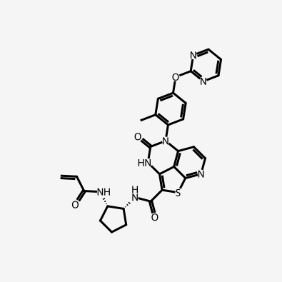 C=CC(=O)N[C@H]1CCC[C@H]1NC(=O)c1sc2nccc3c2c1NC(=O)N3c1ccc(Oc2ncccn2)cc1C